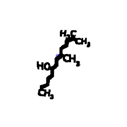 CCCCCC(O)C/C=C(\C)CCC=C(C)C